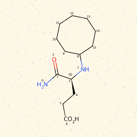 NC(=O)[C@H](CCC(=O)O)NC1CCCCCCC1